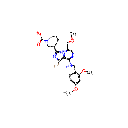 COCc1cnc(NCc2ccc(OC)cc2OC)c2c(Br)nc([C@@H]3CCCN(C(=O)O)C3)n12